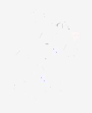 CC1(C)c2ccccc2-c2ccc(N(c3ccc4c(c3)c3ccccc3n4C3(c4ccc5ccccc5c4)c4ccccc4-c4ccccc43)c3cccc4oc5ccccc5c34)cc21